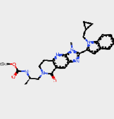 C[C@H](CN1CCc2nc3c(cc2C1=O)nc(-c1cc2ccccc2n1CC1CC1)n3C)NC(=O)OC(C)(C)C